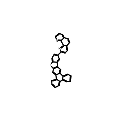 c1cnc2c(c1)ccc1ccc(-c3ccc4sc5cc6c7ccccc7c7ccccc7c6cc5c4c3)nc12